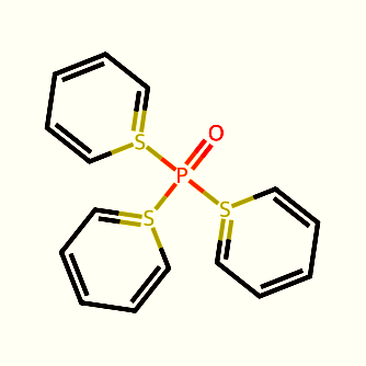 O=P(S1=CC=CC=C1)(S1=CC=CC=C1)S1=CC=CC=C1